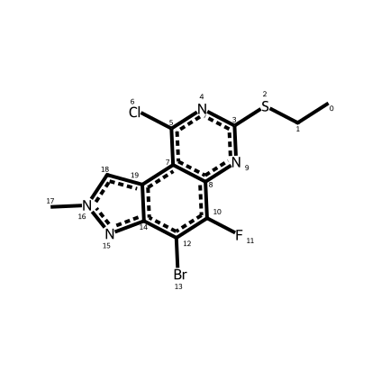 CCSc1nc(Cl)c2c(n1)c(F)c(Br)c1nn(C)cc12